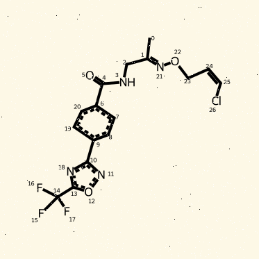 CC(CNC(=O)c1ccc(-c2noc(C(F)(F)F)n2)cc1)=NOC/C=C\Cl